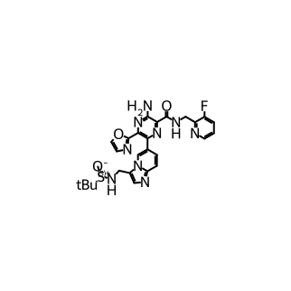 CC(C)(C)[S@@+]([O-])NCc1cnc2ccc(-c3nc(C(=O)NCc4ncccc4F)c(N)nc3-c3ncco3)cn12